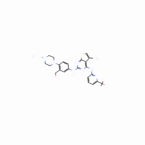 Cc1csc2nc(Nc3ccc(N4CCN(C)CC4)c(CO)c3)nc(Nc3cccc(C(C)(C)O)n3)c12